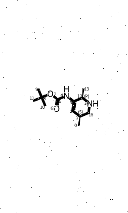 C[C@H]1C=C(NC(=O)OC(C)(C)C)[C@@H](C)NC1